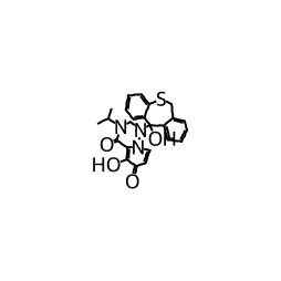 CC(C)N1CN(C2(O)c3ccccc3CSc3ccccc32)n2ccc(=O)c(O)c2C1=O